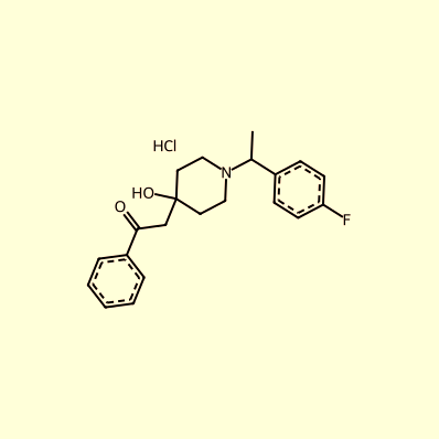 CC(c1ccc(F)cc1)N1CCC(O)(CC(=O)c2ccccc2)CC1.Cl